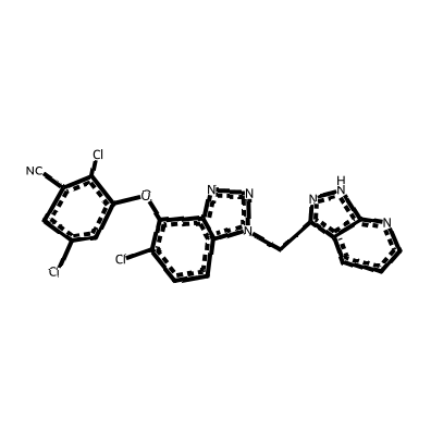 N#Cc1cc(Cl)cc(Oc2c(Cl)ccc3c2nnn3Cc2n[nH]c3ncccc23)c1Cl